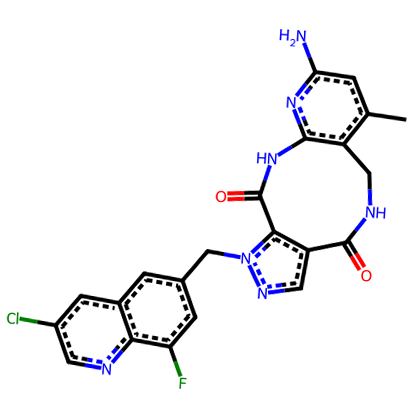 Cc1cc(N)nc2c1CNC(=O)c1cnn(Cc3cc(F)c4ncc(Cl)cc4c3)c1C(=O)N2